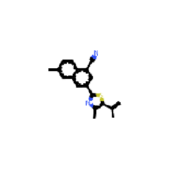 C=C(C)c1sc(-c2cc(C#N)c3ccc(C)cc3c2)nc1C